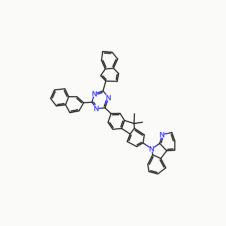 CC1(C)c2cc(-c3nc(-c4ccc5ccccc5c4)nc(-c4ccc5ccccc5c4)n3)ccc2-c2ccc(-n3c4ccccc4c4cccnc43)cc21